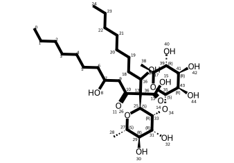 CCCCCCCC(O)CC(=O)C(C(=O)O)(C(O)CCCCCCC)[C@@H]1O[C@@H](C)[C@H](O)[C@@H](O)[C@H]1O[C@@H]1O[C@@H](C)[C@H](O)[C@@H](O)[C@H]1O